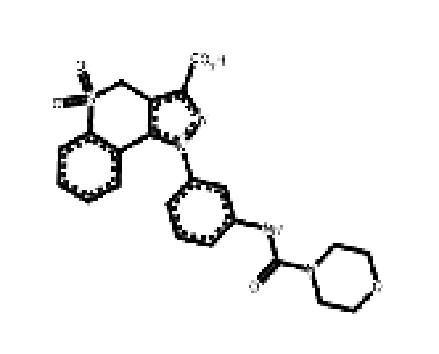 O=C(O)c1nn(-c2cccc(NC(=O)N3CCOCC3)c2)c2c1CS(=O)(=O)c1ccccc1-2